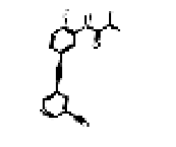 CC(C)C(=O)Nc1cc(C#Cc2cncc(C#N)c2)ccc1F